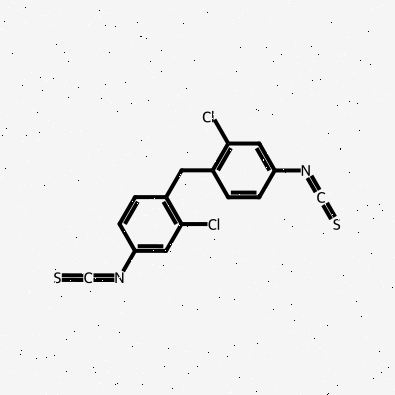 S=C=Nc1ccc(Cc2ccc(N=C=S)cc2Cl)c(Cl)c1